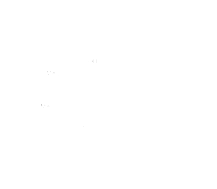 COc1c(OC)c(OC(C)=O)c2ccc(-c3ccccc3)cc2c1O